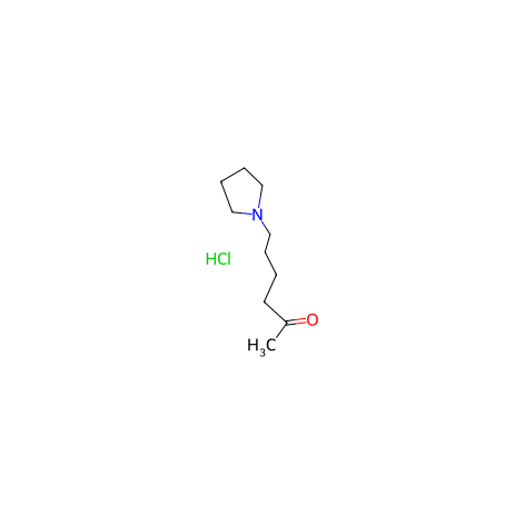 CC(=O)CCCCN1CCCC1.Cl